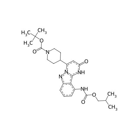 CC(C)COC(=O)Nc1cccc2nn3c(C4CCN(C(=O)OC(C)(C)C)CC4)cc(=O)[nH]c3c12